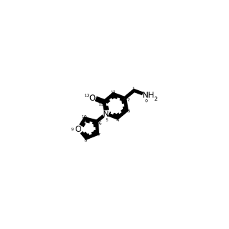 NCc1ccn(-c2ccoc2)c(=O)c1